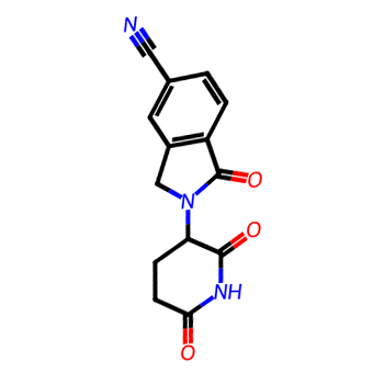 N#Cc1ccc2c(c1)CN(C1CCC(=O)NC1=O)C2=O